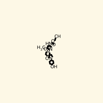 C#CCOC(=O)Nc1cnc(N2CCC[C@]3(CCN([C@H]4CC[C@H](O)CC4)C3=O)C2)c(OC)c1